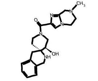 CN1CCn2cc(C(=O)N3CC[C@]4(Cc5ccccc5CN4)[C@H](O)C3)nc2C1